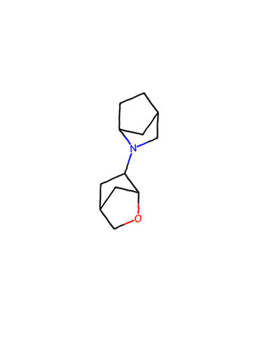 C1CC2CC1CN2C1CC2COC1C2